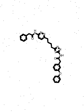 O=C(Cc1ccccc1)Nc1ccc(CCCCc2nnc(NC(=O)Cc3cccc(Oc4ccccc4)c3)s2)nn1